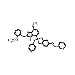 COc1ccccc1Cc1nc2c(OC)ccc(C3(Cc4ccncc4)Cc4ccc(OCc5ccccc5)cc4C3)c2[nH]1